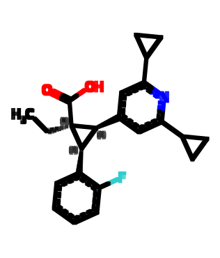 CC[C@@]1(C(=O)O)[C@H](c2ccccc2F)[C@@H]1c1cc(C2CC2)nc(C2CC2)c1